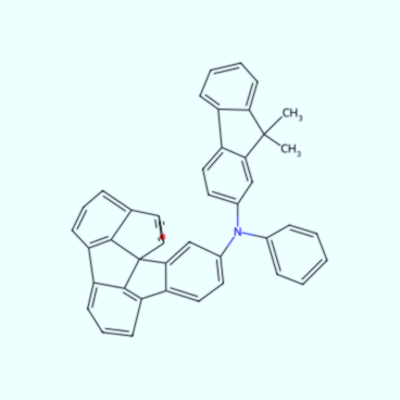 CC1(C)c2ccccc2-c2ccc(N(c3ccccc3)c3ccc4c(c3)C35c6ccccc6-c6cccc(c63)-c3cccc-4c35)cc21